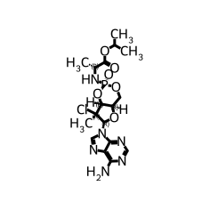 CC(C)OC(=O)[C@@H](C)NP1(=O)OC[C@H]2O[C@@H](n3cnc4c(N)ncnc43)[C@](C)(Cl)[C@@H]2O1